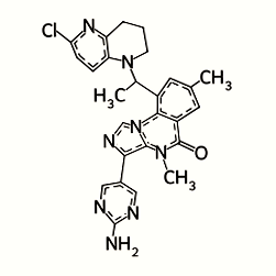 Cc1cc(C(C)N2CCCc3nc(Cl)ccc32)c2c(c1)c(=O)n(C)c1c(-c3cnc(N)nc3)ncn21